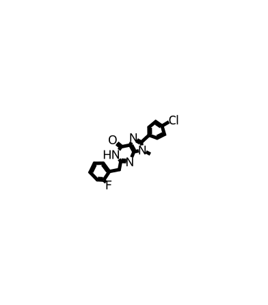 Cn1c(-c2ccc(Cl)cc2)nc2c(=O)[nH]c(Cc3ccccc3F)nc21